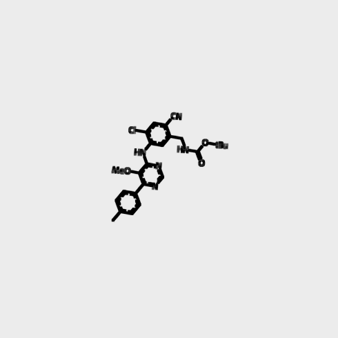 COc1c(Nc2cc(CNC(=O)OC(C)(C)C)c(C#N)cc2Cl)ncnc1-c1ccc(C)cc1